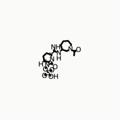 CC(=O)N1CCCCC(NC(=N)[C@@H]2CC[C@@H]3CN2C(=O)N3OS(=O)(=O)O)C1